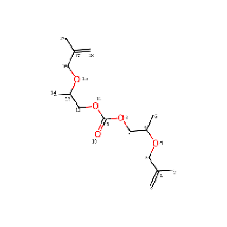 C=C(C)COC(C)COC(=O)OCC(C)OCC(=C)C